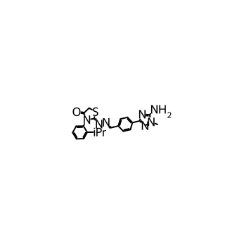 CC(C)c1ccccc1N1C(=O)CSC1=NN=Cc1ccc(-c2nc(N)n(C)n2)cc1